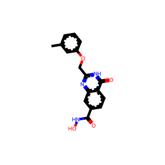 Cc1cccc(OCc2nc3cc(C(=O)NO)ccc3c(=O)[nH]2)c1